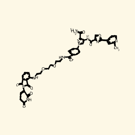 Cc1cc(-c2nc(C(=O)Nc3cn(-c4ccc(C(=O)NCCOCCOCCNc5cccc6c5C(=O)N(C5CCC(=O)NC5=O)C6=O)cc4)nc3C(N)=O)co2)ccn1